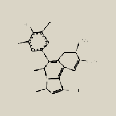 CCOC(=O)C1=CC(C)N2C1=C1C=C(OC)C(OC)CC1=C(c1cc(C)c(O)c(C)c1)C2C